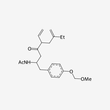 C=CC(CC(=C)CC)C(=O)CC(Cc1ccc(OCOC)cc1)NC(C)=O